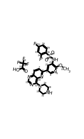 COc1ncc(-c2ccc3ncnc(N4CCNCC4)c3n2)cc1NS(=O)(=O)c1ccc(F)cc1F.O=C(O)C(F)(F)F